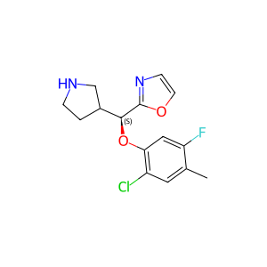 Cc1cc(Cl)c(O[C@H](c2ncco2)C2CCNC2)cc1F